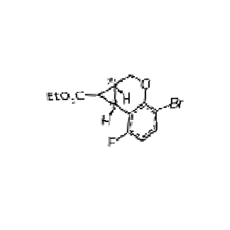 CCOC(=O)C1[C@H]2c3c(F)ccc(Br)c3OC[C@@H]12